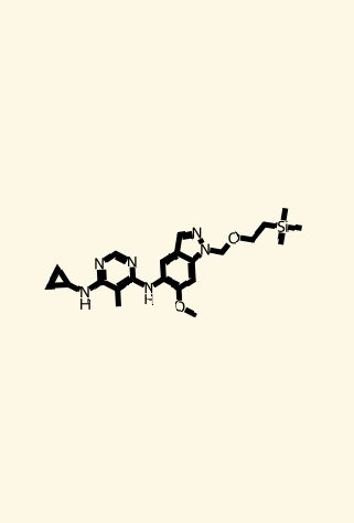 COc1cc2c(cnn2COCC[Si](C)(C)C)cc1Nc1ncnc(NC2CC2)c1C